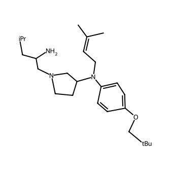 CC(C)=CCN(c1ccc(OCC(C)(C)C)cc1)C1CCN(CC(N)CC(C)C)C1